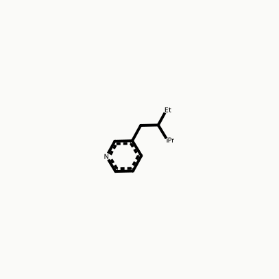 CCC(Cc1cccnc1)C(C)C